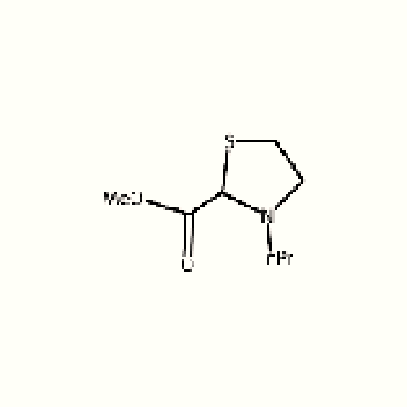 CCCN1CCSC1C(=O)OC